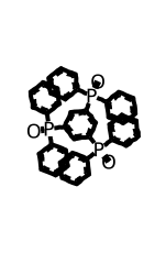 O=P(c1ccccc1)(c1ccccc1)c1cc(P(=O)(c2ccccc2)c2ccccc2)cc(P(=O)(c2ccccc2)c2ccccc2)c1